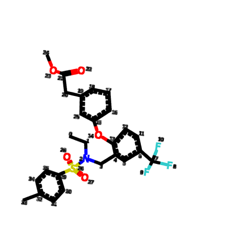 CCN(Cc1cc(C(F)(F)F)ccc1Oc1cccc(CC(=O)OC)c1)S(=O)(=O)c1ccc(C)cc1